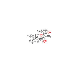 CC(C)(O)C(C)(C)OB(O)C[Si](C)(C)C